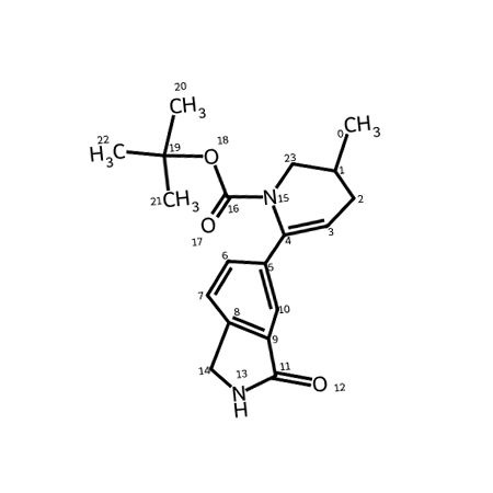 CC1CC=C(c2ccc3c(c2)C(=O)NC3)N(C(=O)OC(C)(C)C)C1